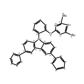 CC(C)(C)c1nc(Oc2ccccc2-n2c3ccc(-c4ccccc4)cc3c3cc(-c4ccccc4)ccc32)nc(C(C)(C)C)n1